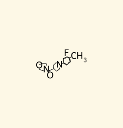 Cc1ccc(N2CCC(C(=O)N3CCOCC3)CC2)cc1F